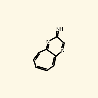 N=c1cnc2cccccc-2n1